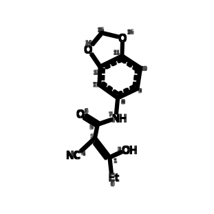 CCC(O)=C(C#N)C(=O)Nc1ccc2c(c1)OCO2